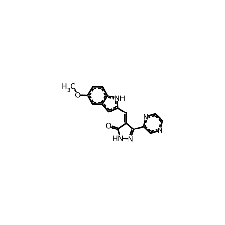 COc1ccc2[nH]c(/C=C3\C(=O)NN=C3c3cnccn3)cc2c1